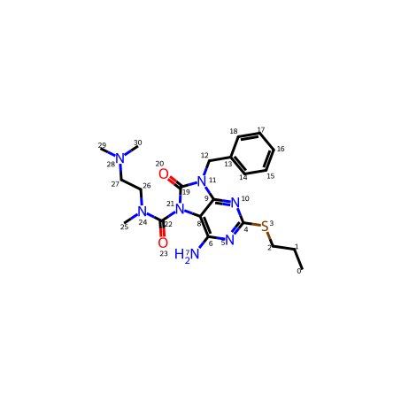 CCCSc1nc(N)c2c(n1)n(Cc1ccccc1)c(=O)n2C(=O)N(C)CCN(C)C